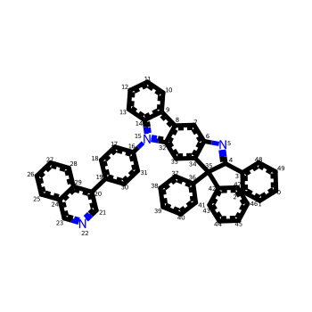 c1ccc(C2=Nc3cc4c5ccccc5n(-c5ccc(-c6cncc7ccccc67)cc5)c4cc3C2(c2ccccc2)c2ccccc2)cc1